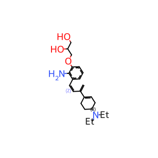 C=C(/C=C\c1cccc(OCC(O)CO)c1N)C1=CC[C@H](N(CC)CC)CC1